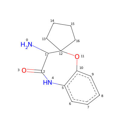 NC1C(=O)Nc2ccccc2OC12CCCC2